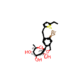 CCc1ccc(Cc2cc3c(cc2Br)CO[C@]32O[C@H](C)[C@@H](O)[C@H](O)[C@H]2O)s1